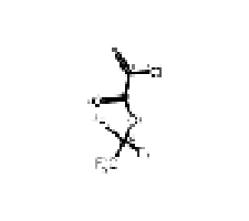 C=C(Cl)C(=O)OC(F)(F)C(F)(F)F